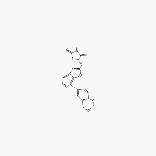 O=C1NC(=O)/C(=C/c2cc3cncc(-c4ccc5c(c4)COCO5)c3o2)S1